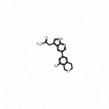 [2H]c1cc(-c2cnc3[nH]cc(CC(N)=O)c3c2)cc2c1COCC2